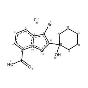 O=C(O)c1cccc2c(Br)c(C3(O)CCCCC3)[se][n+]12.[Cl-]